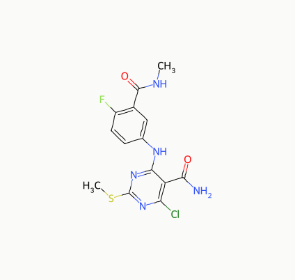 CNC(=O)c1cc(Nc2nc(SC)nc(Cl)c2C(N)=O)ccc1F